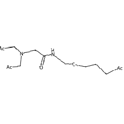 CC(=O)CCCCCNC(=O)CN(CC(C)=O)CC(C)=O